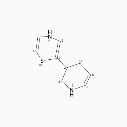 C1=CNCC(C2=CNC=CS2)C1